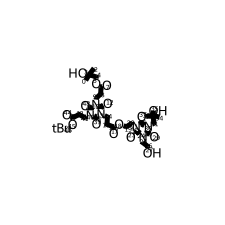 CC(C)(O)COC(=O)CCn1c(=O)n(CCC(=O)OCCn2c(=O)n(CCO)c(=O)n(CC(C)(C)O)c2=O)c(=O)n(CCC(=O)OC(C)(C)C)c1=O